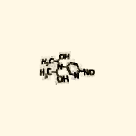 CC(O)N(c1ccc(N=O)nc1)C(C)O